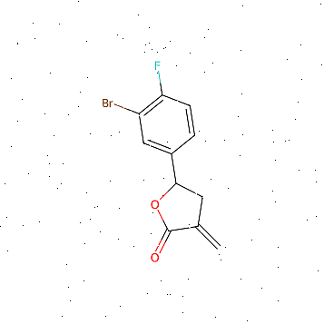 C=C1CC(c2ccc(F)c(Br)c2)OC1=O